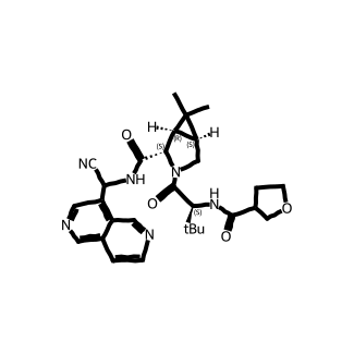 CC(C)(C)[C@H](NC(=O)C1CCOC1)C(=O)N1C[C@H]2[C@@H]([C@H]1C(=O)NC(C#N)c1cncc3ccncc13)C2(C)C